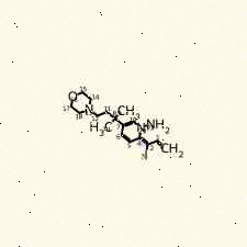 C=C/C(I)=C1/C=CC(C(C)(C)CCN2CCOCC2)=CN1N